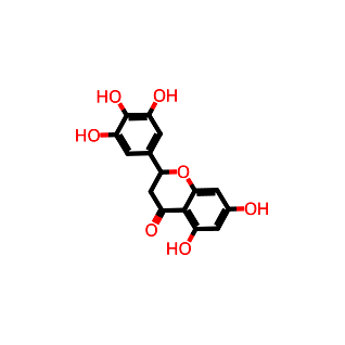 O=C1CC(c2cc(O)c(O)c(O)c2)Oc2cc(O)cc(O)c21